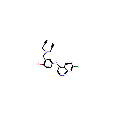 C#CCN(CC#C)Cc1cc(Nc2ccnc3cc(Cl)ccc23)ccc1O